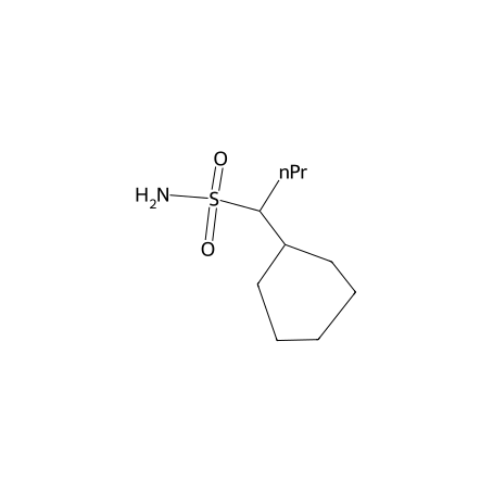 CCCC(C1CCCCC1)S(N)(=O)=O